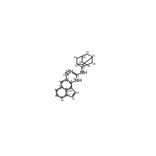 N=C(Nc1c(Br)cc2cccc3c2c1C=C3)NC1C2CC3CC(C2)CC1C3